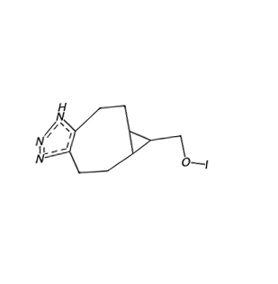 IOCC1C2CCc3nn[nH]c3CCC21